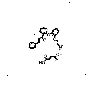 CN(C)CCOc1ccccc1Oc1ncccc1C(=O)C=Cc1ccccc1.O=C(O)C=CC(=O)O